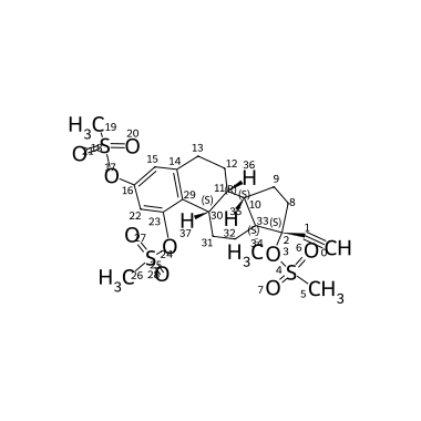 C#C[C@]1(OS(C)(=O)=O)CC[C@H]2[C@H]3CCc4cc(OS(C)(=O)=O)cc(OS(C)(=O)=O)c4[C@H]3CC[C@@]21C